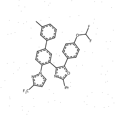 Cc1cccc(-c2ccc(-n3ccc(C(F)(F)F)n3)c(-c3nc(C(C)C)oc3-c3ccc(OC(F)F)cc3)c2)c1